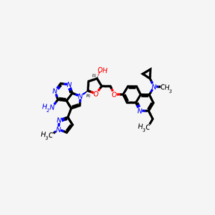 CCc1cc(N(C)C2CC2)c2ccc(OCC3O[C@@H](n4cc(-c5ccn(C)n5)c5c(N)ncnc54)C[C@@H]3O)cc2n1